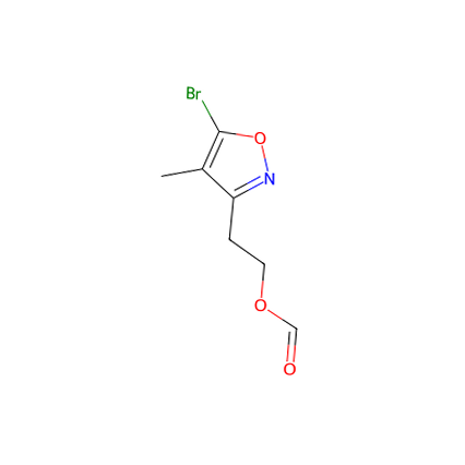 Cc1c(CCOC=O)noc1Br